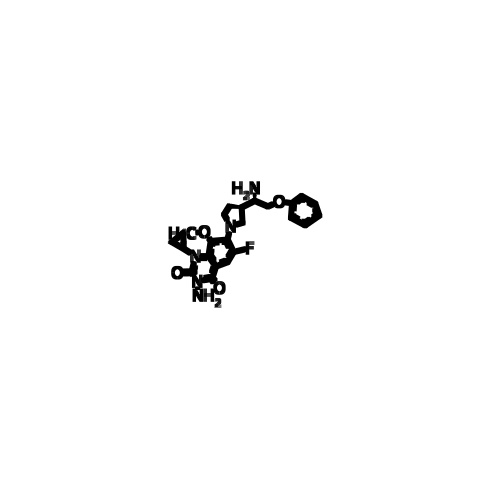 COc1c(N2CC[C@@H]([C@H](N)COc3ccccc3)C2)c(F)cc2c(=O)n(N)c(=O)n(C3CC3)c12